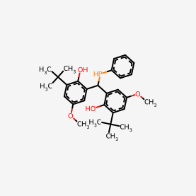 COc1cc(C(Pc2ccccc2)c2cc(OC)cc(C(C)(C)C)c2O)c(O)c(C(C)(C)C)c1